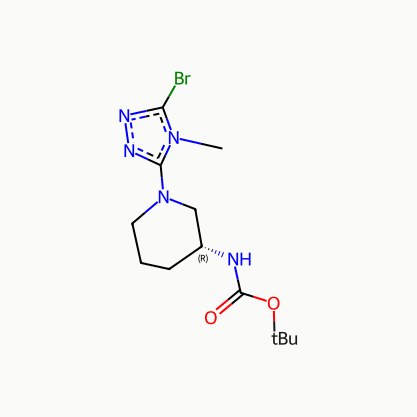 Cn1c(Br)nnc1N1CCC[C@@H](NC(=O)OC(C)(C)C)C1